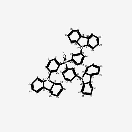 O=P(c1cccc(-n2c3ccccc3c3ccccc32)c1)(c1cccc(-n2c3ccccc3c3ccccc32)c1)c1cccc(-n2c3ccccc3c3ccccc32)c1